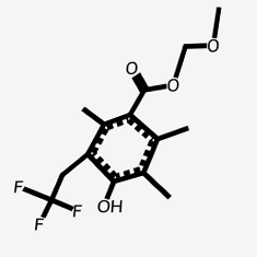 COCOC(=O)c1c(C)c(C)c(O)c(CC(F)(F)F)c1C